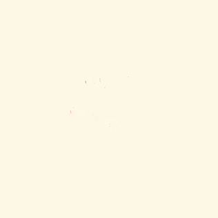 CC1(C)C=C(C(C(=O)O)S(=O)(=O)c2ccccc2)C(C)(C)CC1